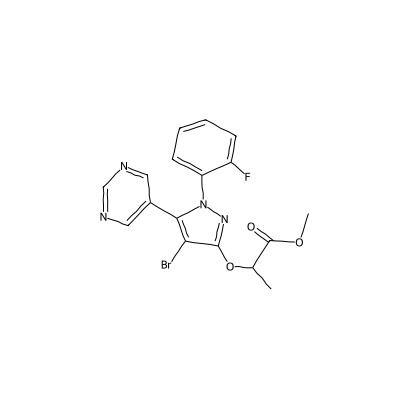 COC(=O)C(C)Oc1nn(-c2ccccc2F)c(-c2cncnc2)c1Br